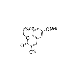 CCCCCCCCCCOC(=O)C(C#N)=Cc1cccc(OC)c1